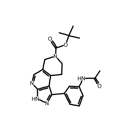 CC(=O)Nc1cccc(-c2n[nH]c3ncc4c(c23)CCN(C(=O)OC(C)(C)C)C4)c1